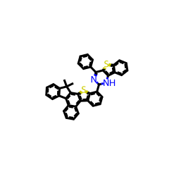 CC1(C)c2ccccc2-c2c1c1sc3c(C4N=C(c5ccccc5)c5sc6ccccc6c5N4)cccc3c1c1ccccc21